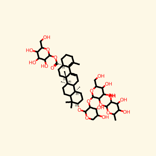 CC1=C2C3=CCC4[C@@]5(C)CC[C@H](OC6OCC(O)C(O)C6OC6OC(CO)C(O)C(O)C6OC6OC(C)C(O)C(O)C6O)C(C)(C)C5CC[C@@]4(C)[C@]3(C)CC[C@@]2(C(=O)OC2OC(CO)C(O)C(O)C2O)CCC1